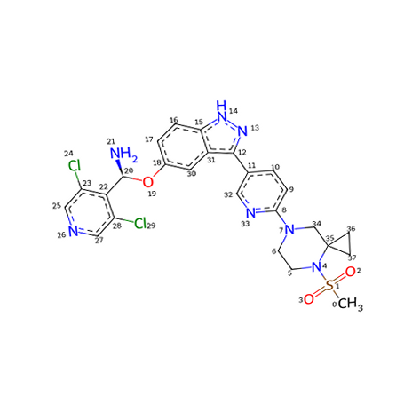 CS(=O)(=O)N1CCN(c2ccc(-c3n[nH]c4ccc(O[C@H](N)c5c(Cl)cncc5Cl)cc34)cn2)CC12CC2